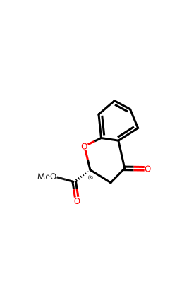 COC(=O)[C@H]1CC(=O)c2ccccc2O1